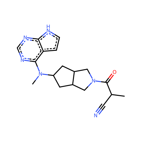 CC(C#N)C(=O)N1CC2CC(N(C)c3ncnc4[nH]ccc34)CC2C1